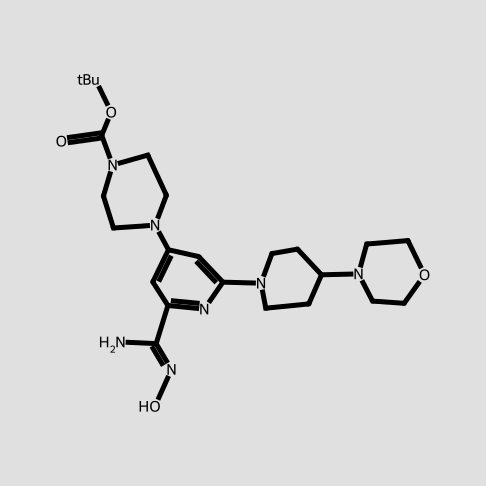 CC(C)(C)OC(=O)N1CCN(c2cc(/C(N)=N/O)nc(N3CCC(N4CCOCC4)CC3)c2)CC1